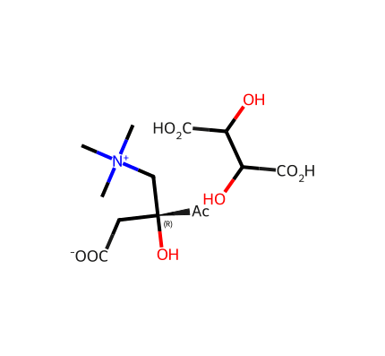 CC(=O)[C@@](O)(CC(=O)[O-])C[N+](C)(C)C.O=C(O)C(O)C(O)C(=O)O